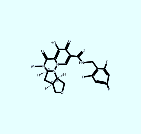 CC(C)N1C(=O)c2c(O)c(=O)c(C(=O)NCc3c(F)cc(F)cc3F)cn2N2[C@H]3COC[C@H]3C[C@@H]12